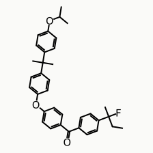 CCC(C)(F)c1ccc(C(=O)c2ccc(Oc3ccc(C(C)(C)c4ccc(OC(C)C)cc4)cc3)cc2)cc1